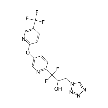 OC(Cn1cnnn1)C(F)(F)c1ccc(Oc2ccc(C(F)(F)F)cn2)cn1